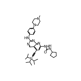 CC(C)[Si](C#Cc1cc(NC(=O)NC2CCCC2)nc2nc(Nc3ccc(N4CCN(C)CC4)cc3)ncc12)(C(C)C)C(C)C